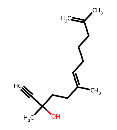 C#CC(C)(O)CCC(C)=CCCCC(=C)C